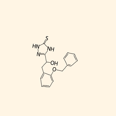 OC(Cc1ccccc1OCc1ccccc1)c1n[nH]c(=S)[nH]1